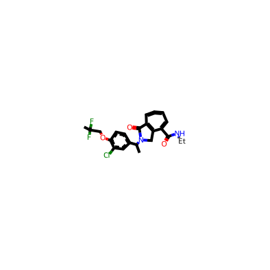 CCNC(=O)C1=CC=C=CC2=C1CN(C(C)c1ccc(OCC(C)(F)F)c(Cl)c1)C2=O